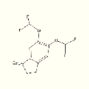 O=C1CCc2cc(OC(F)F)c(OC(F)F)cc21